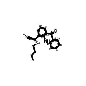 CCCCSC(C#N)c1cccc(C(=O)c2ccccc2)c1N